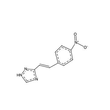 O=[N+]([O-])c1ccc(C=Cc2nc[nH]n2)cc1